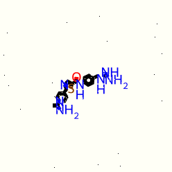 C=C(N)N1CC=C(c2ncc(C(=O)Nc3ccc(CNC(=N)N)cc3)s2)CC1